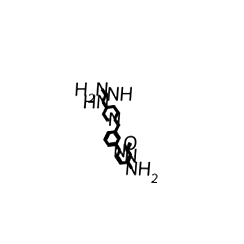 N=C(N)NC1CCN(Cc2cccc(-n3ccc(N)nc3=O)c2)CC1